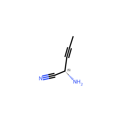 CC#C[C@H](N)C#N